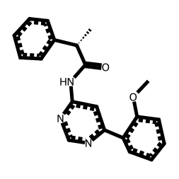 COc1ccccc1-c1cc(NC(=O)[C@@H](C)c2ccccc2)ncn1